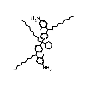 CCCCCCCCCC(c1ccc(C(CCCCCCCCC)(c2ccc(C(CCCCCCCCC)c3ccc(N)cc3C)cc2)C2CCCCC2)cc1)c1ccc(N)cc1C